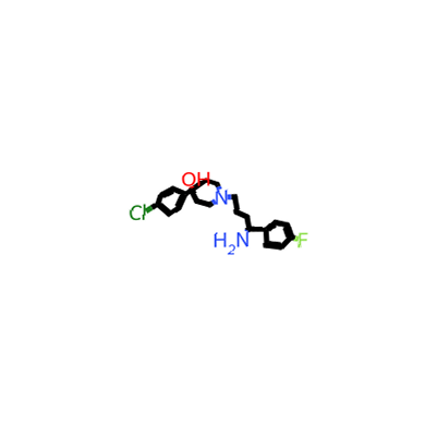 NC(CCCN1CCC(O)(c2ccc(Cl)cc2)CC1)c1ccc(F)cc1